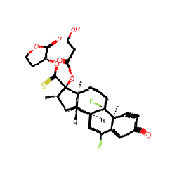 C[C@@H]1C[C@H]2[C@@H]3C[C@H](F)C4=CC(=O)C=C[C@]4(C)[C@@]3(F)CC[C@]2(C)[C@@]1(OC(=O)CCO)C(=S)O[C@H]1CCOC1=O